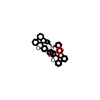 C1=CC2=C(CC1)Oc1ccccc1C21c2cc(N(c3ccccc3-c3ccccc3)c3cccc4cc5c(cc34)C3(c4ccccc4Oc4ccccc43)c3ccccc3-5)ccc2C2CCCCC21